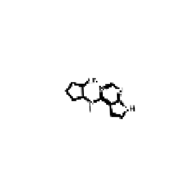 N#CC1CCCC1Nc1ncnc2[nH]ccc12